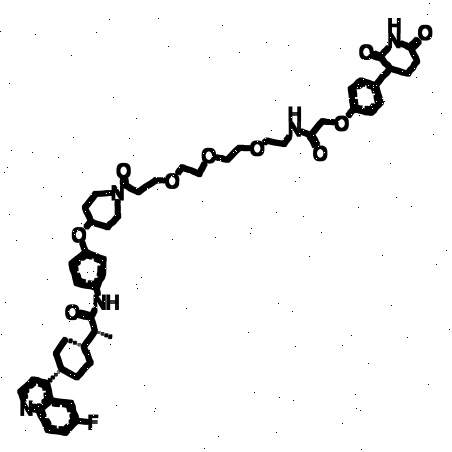 C[C@@H](C(=O)Nc1ccc(OC2CCN(C(=O)CCOCCOCCOCCNC(=O)COc3ccc(C4CCC(=O)NC4=O)cc3)CC2)cc1)[C@H]1CC[C@@H](c2ccnc3ccc(F)cc32)CC1